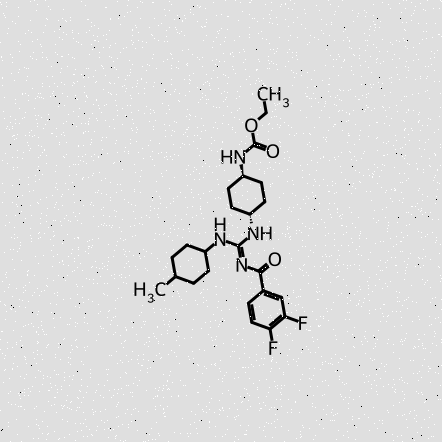 CCOC(=O)N[C@H]1CC[C@H](N/C(=N\C(=O)c2ccc(F)c(F)c2)NC2CCC(C)CC2)CC1